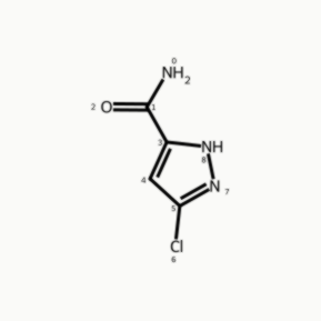 NC(=O)c1cc(Cl)n[nH]1